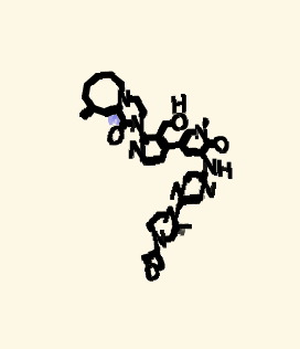 C=C1/C=C2/C(=O)N(c3nccc(-c4cc(Nc5cnc(N6CCN(C7COC7)C[C@@H]6C)cn5)c(=O)n(C)c4)c3CO)CCN2CCCCC1